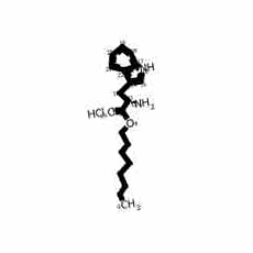 CCCCCCCCOC(=O)[C@@H](N)Cc1c[nH]c2ccccc12.Cl